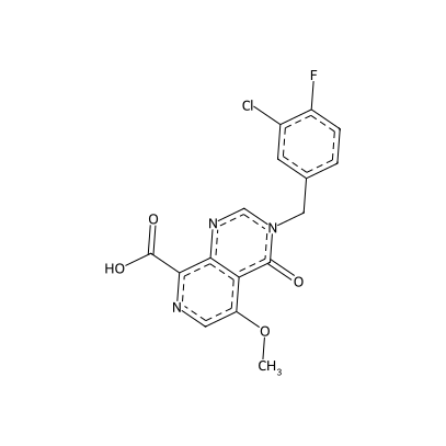 COc1cnc(C(=O)O)c2ncn(Cc3ccc(F)c(Cl)c3)c(=O)c12